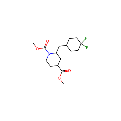 COC(=O)C1CCN(C(=O)OC)C(CC2CCC(F)(F)CC2)C1